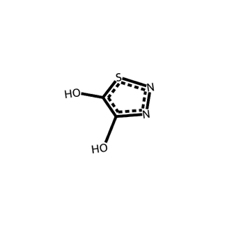 Oc1nnsc1O